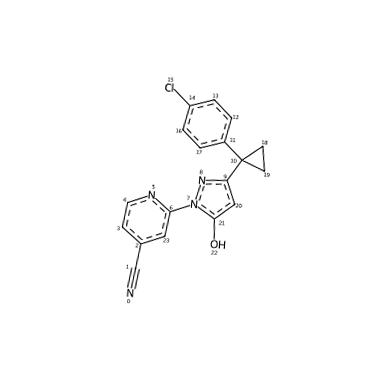 N#Cc1ccnc(-n2nc(C3(c4ccc(Cl)cc4)CC3)cc2O)c1